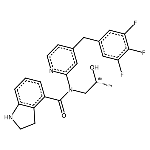 C[C@@H](O)CN(C(=O)c1cccc2c1CCN2)c1cc(Cc2cc(F)c(F)c(F)c2)ccn1